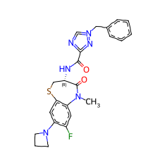 CN1C(=O)[C@@H](NC(=O)c2ncn(Cc3ccccc3)n2)CSc2cc(N3CCC3)c(F)cc21